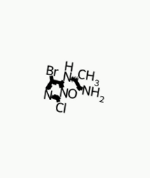 C[C@H](Nc1nc(Cl)ncc1Br)C(N)=O